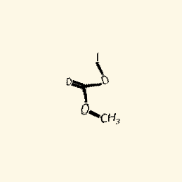 COC(=O)OI